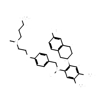 CCN(Cc1ccc(OCCN(C)CCCOC)cc1)c1cc(OC)c(OC)cc1[C@@H]1CCc2cc(O)ccc2C1